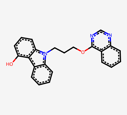 Oc1cccc2c1c1ccccc1n2CCCOc1ncnc2ccccc12